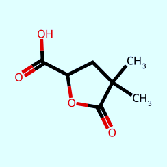 CC1(C)CC(C(=O)O)OC1=O